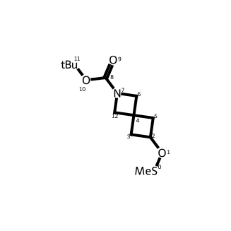 CSOC1CC2(C1)CN(C(=O)OC(C)(C)C)C2